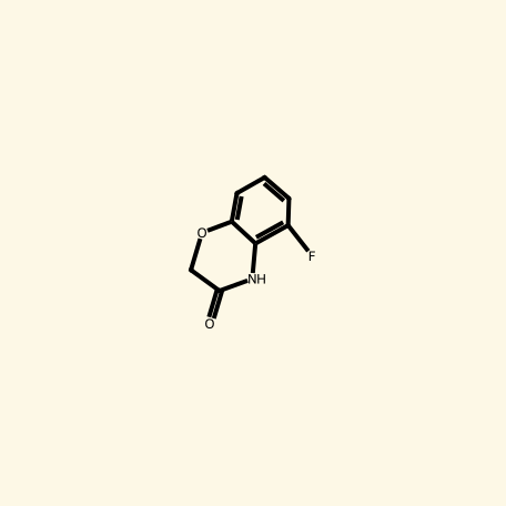 O=C1COc2cccc(F)c2N1